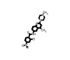 Cc1cc(N2CCN(C)CC2)nc2ccc(NC(=O)c3ccc([N+](=O)[O-])cc3Cl)cc12